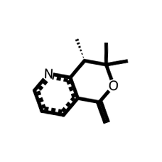 C=C1OC(C)(C)[C@@H](C)c2ncccc21